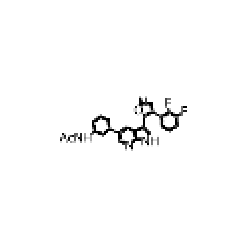 CC(=O)Nc1cccc(-c2cnc3[nH]cc(-c4oncc4-c4cccc(F)c4F)c3c2)c1